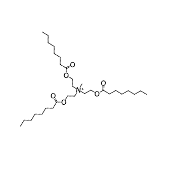 CCCCCCCC(=O)OCC[N+](C)(CCOC(=O)CCCCCCC)CCOC(=O)CCCCCCC